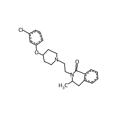 CC1Cc2ccccc2C(=O)N1CCN1CCC(Oc2cccc(Cl)c2)CC1